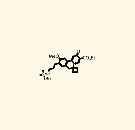 CCOC(=O)c1cn2c(cc1=O)-c1cc(OC)c(CCCO[Si](C)(C)C(C)(C)C)cc1CC21CCC1